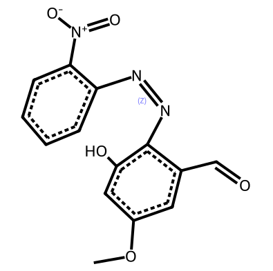 COc1cc(O)c(/N=N\c2ccccc2[N+](=O)[O-])c(C=O)c1